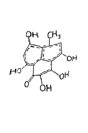 Cc1cc(O)c2c3c(c(O)cc(O)c13)C(=O)C(O)=C2O